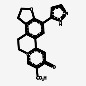 O=C(O)c1cn2c(cc1=O)-c1cc(-c3ccn[nH]3)c3c(c1CC2)CCO3